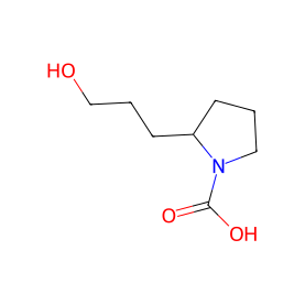 O=C(O)N1CCCC1CCCO